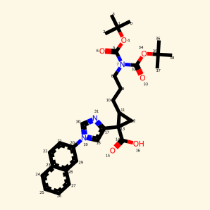 CC(C)(C)OC(=O)N(CCCC1CC1(C(=O)O)c1cn(-c2ccc3ccccc3c2)cn1)C(=O)OC(C)(C)C